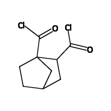 O=C(Cl)C1CC2CCC1(C(=O)Cl)C2